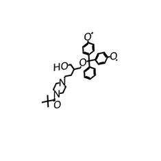 COc1ccc(C(OCC(CO)CCN2CCN(C(=O)C(C)(C)C)CC2)(c2ccccc2)c2ccc(OC)cc2)cc1